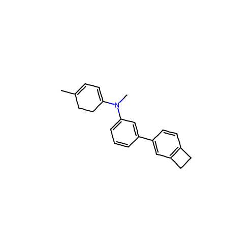 CC1=CC=C(N(C)c2cccc(-c3ccc4c(c3)CC4)c2)CC1